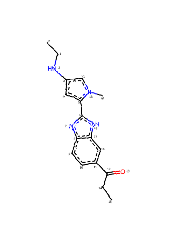 CCNc1cc(-c2nc3ccc(C(=O)CC)cc3[nH]2)n(C)c1